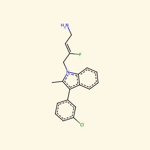 Cc1c(-c2cccc(Cl)c2)c2ccccc2n1CC(F)=CCN